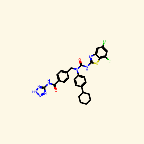 O=C(Nc1nn[nH]n1)c1ccc(CN(C(=O)Nc2nc3cc(Cl)cc(Cl)c3s2)c2ccc(C3CCCCC3)cc2)cc1